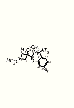 CN(C(=O)C1(C)CN(C(=O)O)C1)C(c1ccc(Br)cc1)C(F)(F)F